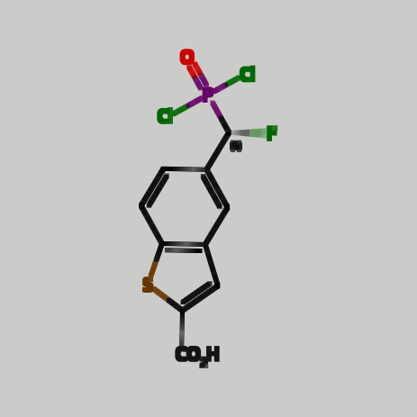 O=C(O)c1cc2cc([C@@H](F)P(=O)(Cl)Cl)ccc2s1